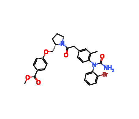 COC(=O)c1ccc(OC[C@@H]2CCCN2C(=O)Cc2ccc(N(C(N)=O)c3ccccc3Br)c(C)c2)cc1